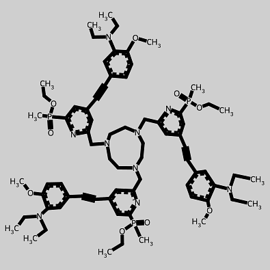 CCOP(C)(=O)c1cc(C#Cc2ccc(OC)c(N(CC)CC)c2)cc(CN2CCN(Cc3cc(C#Cc4ccc(OC)c(N(CC)CC)c4)cc(P(C)(=O)OCC)n3)CCN(Cc3cc(C#Cc4ccc(OC)c(N(CC)CC)c4)cc(P(C)(=O)OCC)n3)CC2)n1